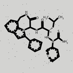 CC(C)C[C@H](NN(C(N)=S)c1ccccc1)C(=O)NC1C(=O)NCc2cccc3cc(-c4ccccc4)n1c23